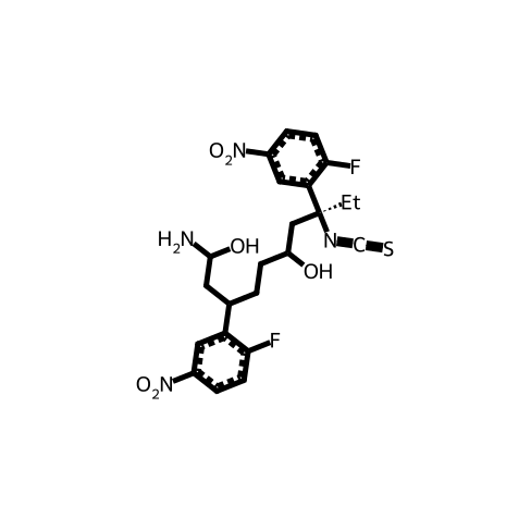 CC[C@@](CC(O)CCC(CC(N)O)c1cc([N+](=O)[O-])ccc1F)(N=C=S)c1cc([N+](=O)[O-])ccc1F